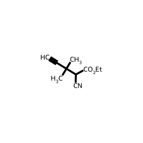 C#CC(C)(C)C(C#N)C(=O)OCC